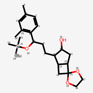 Cc1ccc(C(CCC2C(O)CC3C2CC32OCCO2)O[Si](C)(C)C(C)(C)C)c(C)c1